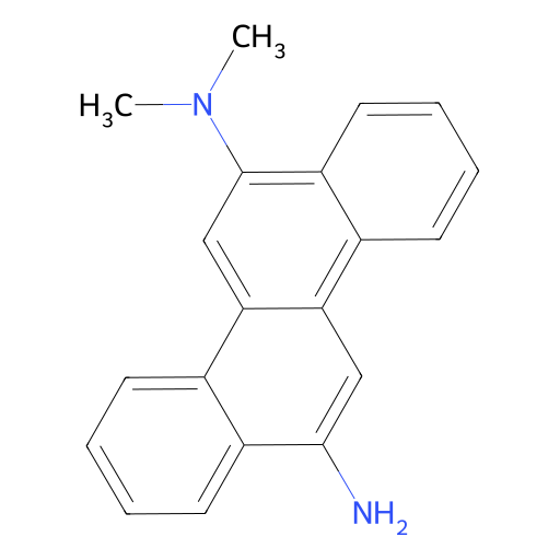 CN(C)c1cc2c3ccccc3c(N)cc2c2ccccc12